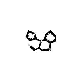 O=CC1C=Nc2ccccc2N1c1cccs1